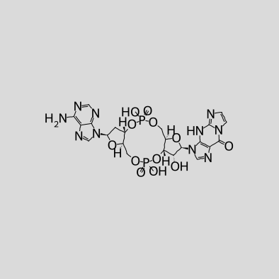 Nc1ncnc2c1ncn2[C@H]1C[C@@H]2OP(=O)(O)OC[C@H]3O[C@@H](n4cnc5c(=O)n6ccnc6[nH]c54)[C@H](O)[C@@H]3OP(=O)(O)OC[C@H]2O1